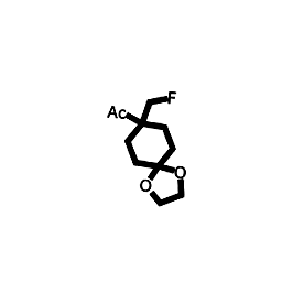 CC(=O)C1(CF)CCC2(CC1)OCCO2